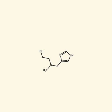 CN(CCO)Cc1c[nH]cn1